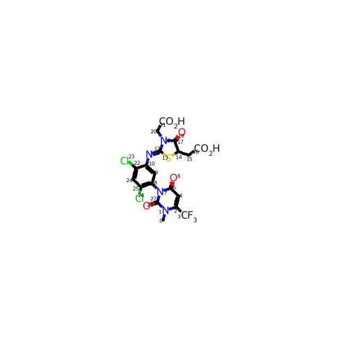 Cn1c(C(F)(F)F)cc(=O)n(-c2cc(N=C3SC(CC(=O)O)C(=O)N3CC(=O)O)c(Cl)cc2Cl)c1=O